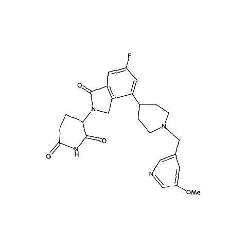 COc1cncc(CN2CCC(c3cc(F)cc4c3CN(C3CCC(=O)NC3=O)C4=O)CC2)c1